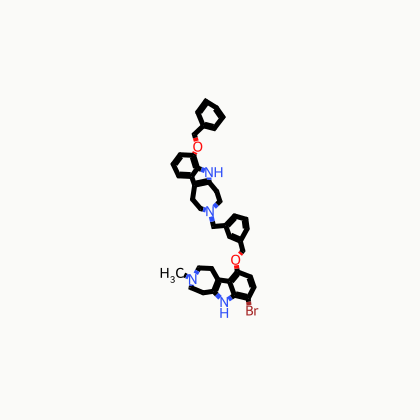 CN1CCc2[nH]c3c(Br)ccc(OCc4cccc(CN5CCc6[nH]c7c(OCc8ccccc8)cccc7c6CC5)c4)c3c2CC1